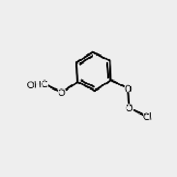 O=COc1cccc(OOCl)c1